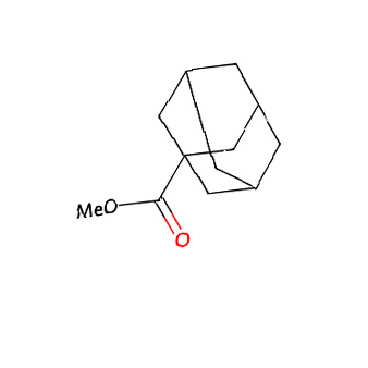 [CH2]OC(=O)C12CC3CC(CC(C3)C1)C2